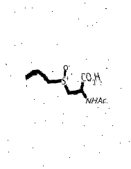 C=CC[S+]([O-])CC(NC(C)=O)C(=O)O